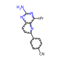 CCCc1nc(N)nc2ccc(-c3ccc(C#N)cc3)nc12